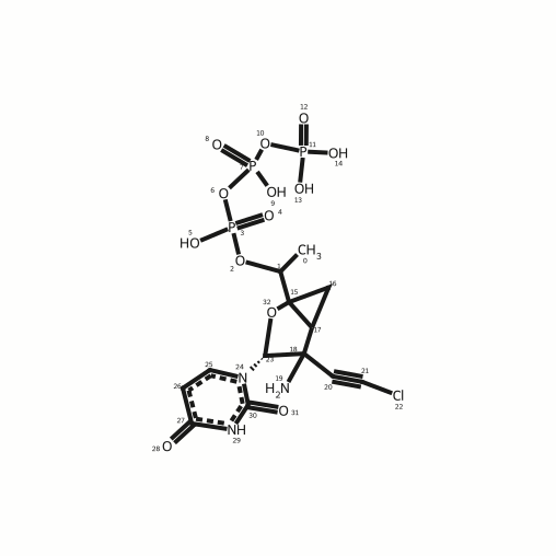 CC(OP(=O)(O)OP(=O)(O)OP(=O)(O)O)C12CC1C(N)(C#CCl)[C@H](n1ccc(=O)[nH]c1=O)O2